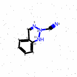 N#CN1N=Cc2ccccc2N1